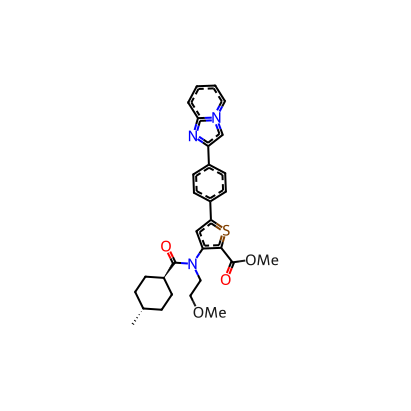 COCCN(c1cc(-c2ccc(-c3cn4ccccc4n3)cc2)sc1C(=O)OC)C(=O)[C@H]1CC[C@H](C)CC1